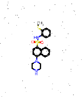 CSc1ccccc1NS(=O)(=O)c1ccc(N2CCNCC2)c2ccccc12